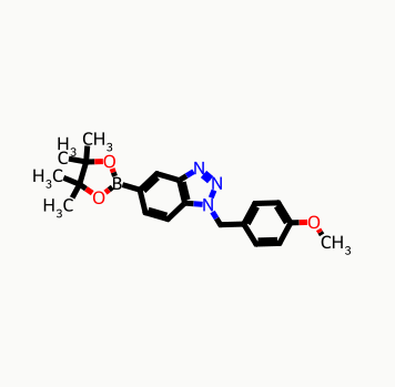 COc1ccc(Cn2nnc3cc(B4OC(C)(C)C(C)(C)O4)ccc32)cc1